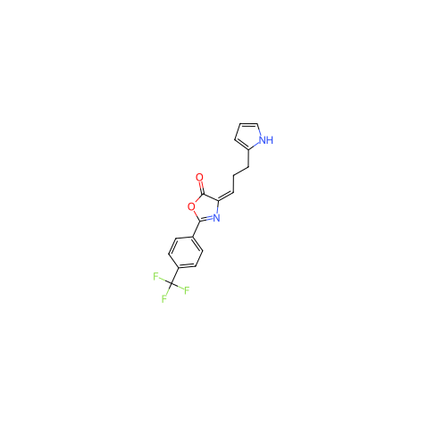 O=C1OC(c2ccc(C(F)(F)F)cc2)=N/C1=C/CCc1ccc[nH]1